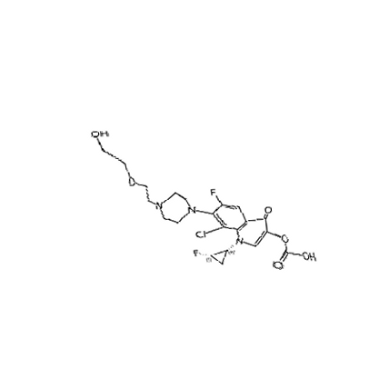 O=C(O)Oc1cn([C@@H]2C[C@@H]2F)c2c(Cl)c(N3CCN(CCOCCO)CC3)c(F)cc2c1=O